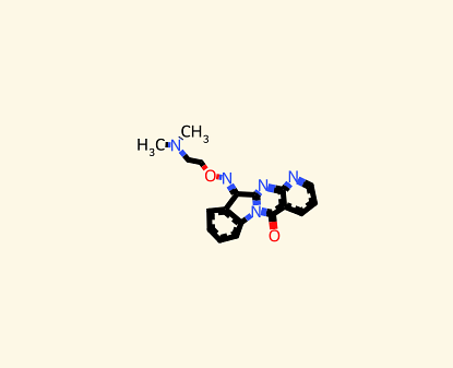 CN(C)CCO/N=C1\c2ccccc2-n2c1nc1ncccc1c2=O